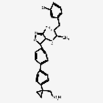 CC1=NOC(c2ccc(-c3ccc(C4(CC(=O)O)CC4)cc3)cc2)C1NC(C)CCc1cccc(Cl)c1